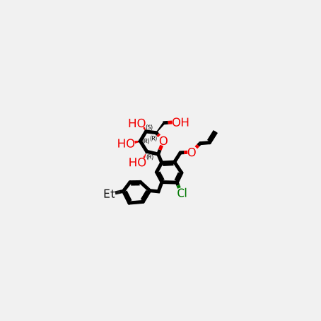 C=CCOCc1cc(Cl)c(Cc2ccc(CC)cc2)cc1C1O[C@H](CO)[C@@H](O)[C@H](O)[C@H]1O